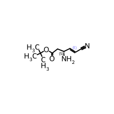 CC(C)(C)OC(=O)C[C@H](N)/C=C/C#N